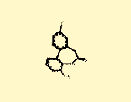 Cc1cccc2c1NC(=O)Cc1cc(F)ccc1-2